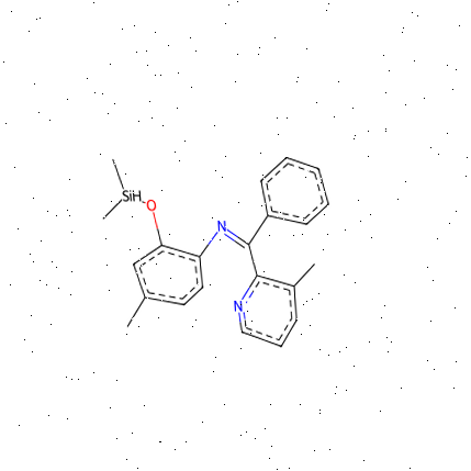 Cc1ccc(N=C(c2ccccc2)c2ncccc2C)c(O[SiH](C)C)c1